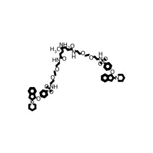 CC(N)(CCC(=O)NCCOCCOCCNS(=O)(=O)c1ccc(O[C@H]2c3ccccc3CC2N2CCCCC2)cc1)CCC(=O)NCCOCCOCCNS(=O)(=O)c1ccc(O[C@H]2c3ccccc3C[C@@H]2N2CCCCC2)cc1